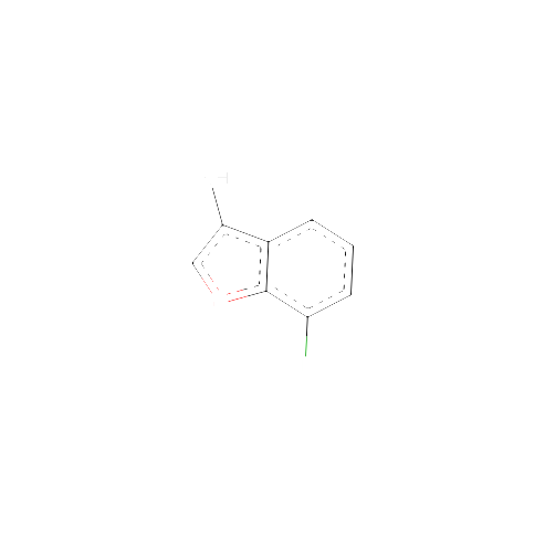 [CH2]c1coc2c(F)cccc12